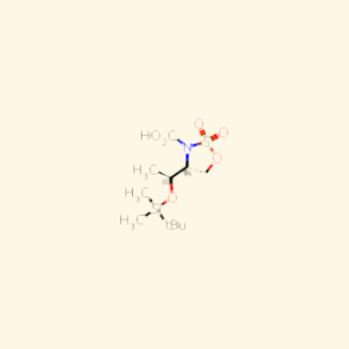 C[C@H](O[Si](C)(C)C(C)(C)C)[C@H]1COS(=O)(=O)N1C(=O)O